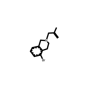 C=C(C)CN1CCc2c(Br)cccc2C1